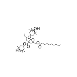 CCCCCCCCCC(=O)OCCCC(CCCC)(C(=O)OC1CC(C)(C)NC(C)(C)C1)C(=O)OC1CC(C)(C)N(O)C(C)(C)C1